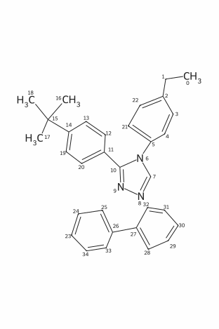 CCc1ccc(-n2cnnc2-c2ccc(C(C)(C)C)cc2)cc1.c1ccc(-c2ccccc2)cc1